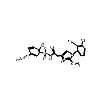 COc1ccc(Cl)c(S(=O)(=O)NC(=O)c2cn(-c3cccc(Cl)c3Cl)c(C)n2)c1